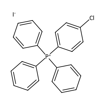 Clc1ccc([P+](c2ccccc2)(c2ccccc2)c2ccccc2)cc1.[I-]